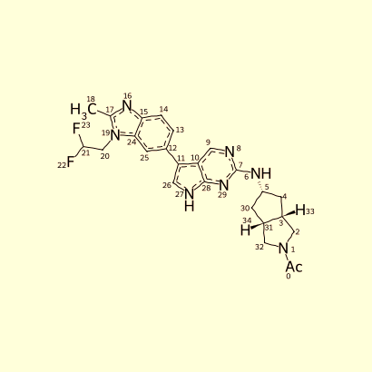 CC(=O)N1C[C@H]2C[C@@H](Nc3ncc4c(-c5ccc6nc(C)n(CC(F)F)c6c5)c[nH]c4n3)C[C@H]2C1